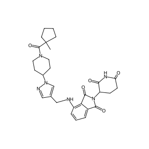 CC1(C(=O)N2CCC(n3cc(CNc4cccc5c4C(=O)N(C4CCC(=O)NC4=O)C5=O)cn3)CC2)CCCC1